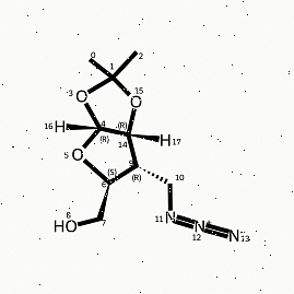 CC1(C)O[C@H]2O[C@H](CO)[C@@H](CN=[N+]=[N-])[C@H]2O1